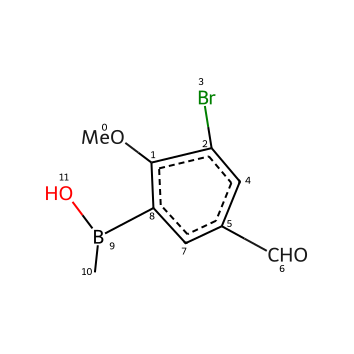 COc1c(Br)cc(C=O)cc1B(C)O